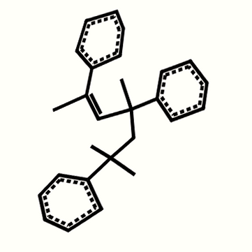 CC(=CC(C)(CC(C)(C)c1ccccc1)c1ccccc1)c1ccccc1